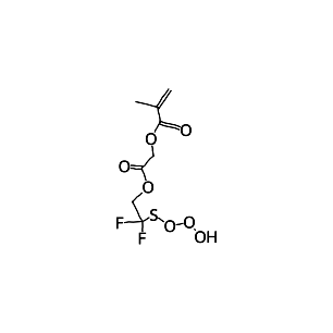 C=C(C)C(=O)OCC(=O)OCC(F)(F)SOOO